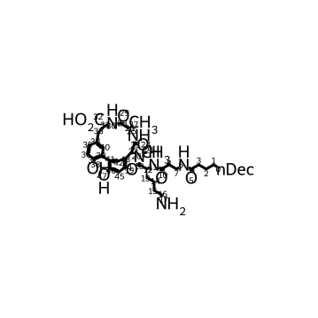 CCCCCCCCCCCCCC(=O)NCCC(=O)N[C@@H](CCCCN)C(=O)N(C)[C@@H]1C(=O)N[C@@H](C)C(=O)N[C@H](C(=O)O)Cc2ccc(O)c(c2)-c2cc1ccc2O